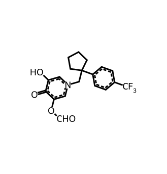 O=COc1cn(CC2(c3ccc(C(F)(F)F)cc3)CCCC2)cc(O)c1=O